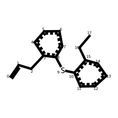 C=CCc1ccccc1Sc1ccccc1CC